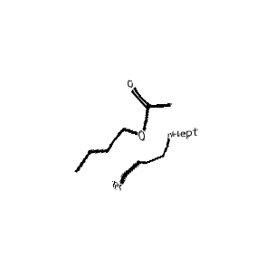 CCCCCCCCCC(C)C.CCCCOC(C)=O